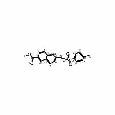 COC(=O)c1ccc2nc(COS(=O)(=O)c3ccc(C)cc3)ccc2c1